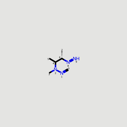 C=NN(C)C(C)[C@H](C)N=N